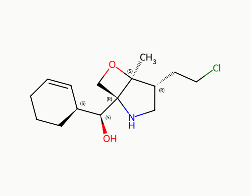 C[C@@]12OC[C@]1([C@@H](O)[C@@H]1C=CCCC1)NC[C@H]2CCCl